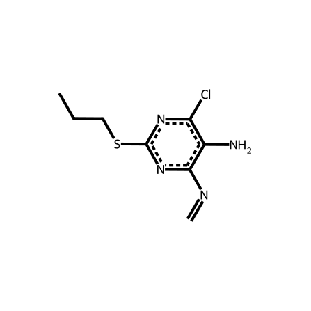 C=Nc1nc(SCCC)nc(Cl)c1N